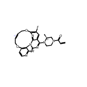 C=CC(=O)N1CCN(c2nc(=O)n3c4nc(c(F)cc24)OC/C=C\COc2ccnc(C(C)C)c2-3)[C@@H](C)C1